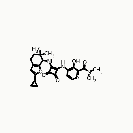 CN(C)C(=O)c1nccc(Nc2c(NC3c4oc(C5CC5)cc4CCC3(C)C)c(=O)c2=O)c1O